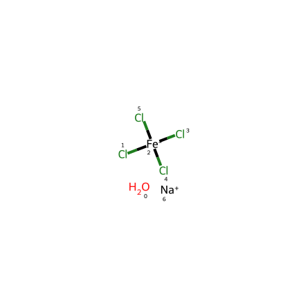 O.[Cl][Fe-]([Cl])([Cl])[Cl].[Na+]